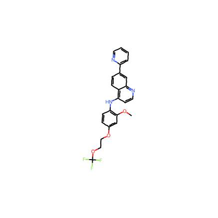 COc1cc(OCCOC(F)(F)F)ccc1Nc1ccnc2cc(-c3ccccn3)ccc12